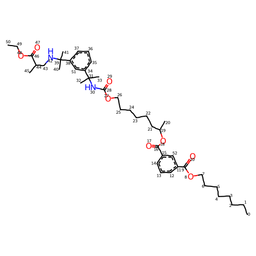 CCCCCCCCOC(=O)c1cccc(C(=O)OC(C)CCCCCCOC(=O)NC(C)(C)c2cccc(C(C)(C)NCC(C)C(=O)OCC)c2)c1